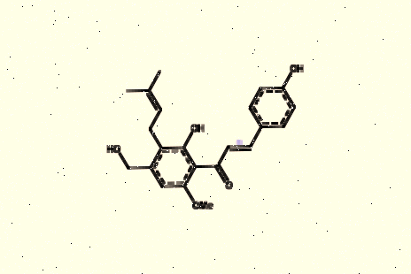 COc1cc(CO)c(CC=C(C)C)c(O)c1C(=O)/C=C/c1ccc(O)cc1